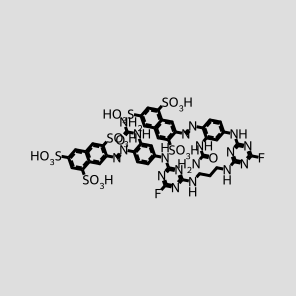 NC(=O)Nc1cc(Nc2nc(F)nc(NCCCNc3nc(F)nc(Nc4ccc(/N=N/c5cc6c(S(=O)(=O)O)cc(S(=O)(=O)O)cc6cc5S(=O)(=O)O)c(NC(N)=O)c4)n3)n2)ccc1/N=N/c1cc2c(S(=O)(=O)O)cc(S(=O)(=O)O)cc2cc1S(=O)(=O)O